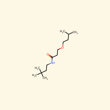 CC(C)CCOCCC(=O)NCCC(C)(C)C